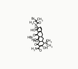 Br.CN(C)[C@@H]1C(O)=C(C(N)=O)C(=O)[C@@]2(O)C(O)=C3C(=O)c4c(ccc(NC(=O)C(C)(C)Br)c4O)CC3CC12